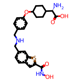 N[C@H](C(=O)O)C1CCC(Oc2ccc(CNCc3ccc4cc(C(=O)NO)sc4c3)cc2)CC1